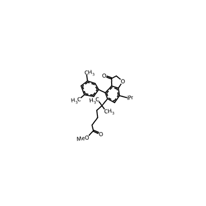 COC(=O)CCCC(C)(C)c1cc(C(C)C)c2c(c1-c1cc(C)cc(C)c1)C(=O)CO2